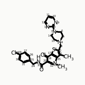 Cc1c(CN2CCN(c3ncccn3)CC2)sc2c(=O)c(C(=O)NCc3ccc(Cl)cc3)cn(C)c12